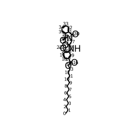 CCCCCCCCCCCCCCOC(=O)c1ccc(OC)c(NC(=O)CN2C(=O)c3ccccc3C2=O)c1